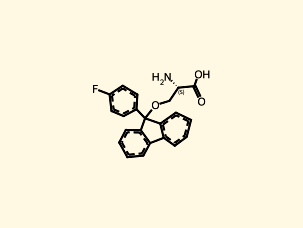 N[C@@H](COC1(c2ccc(F)cc2)c2ccccc2-c2ccccc21)C(=O)O